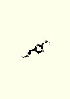 Nc1nc(/C=N/N=O)cs1